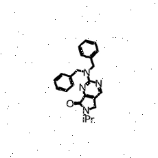 CC(C)N1Cc2cnc(N(Cc3ccccc3)Cc3ccccc3)nc2C1=O